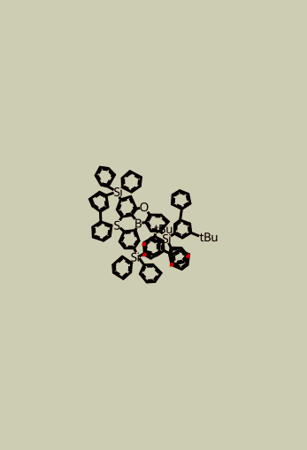 CC(C)(C)c1cc(-c2ccccc2)cc([Si](c2ccccc2)(c2ccccc2)c2ccc3c(c2)B2c4cc([Si](c5ccccc5)(c5ccccc5)c5cc(-c6ccccc6)cc(C(C)(C)C)c5)ccc4Sc4cc([Si](c5ccccc5)(c5ccccc5)c5cccc(-c6ccccc6)c5)cc(c42)O3)c1